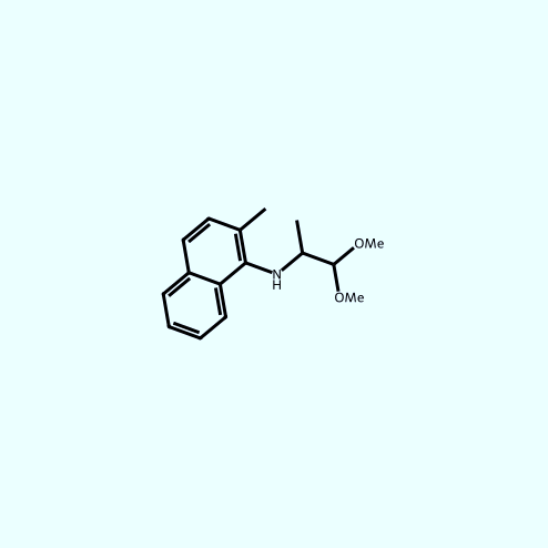 COC(OC)C(C)Nc1c(C)ccc2ccccc12